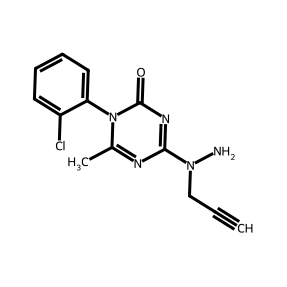 C#CCN(N)c1nc(C)n(-c2ccccc2Cl)c(=O)n1